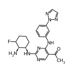 CC(=O)c1cnc(N[C@@H]2CCCC(F)[C@@H]2N)nc1Nc1cccc(-n2nccn2)c1